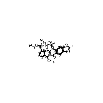 CC(C)c1cccc(C(C)C)c1NC(=O)N(C=O)c1ccc2c(c1)OCO2